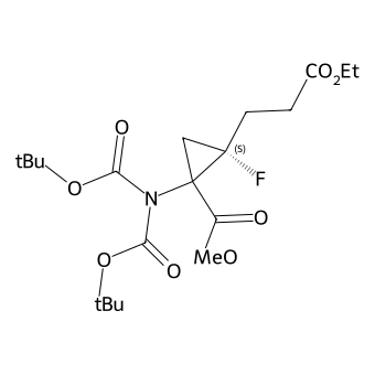 CCOC(=O)CC[C@]1(F)CC1(C(=O)OC)N(C(=O)OC(C)(C)C)C(=O)OC(C)(C)C